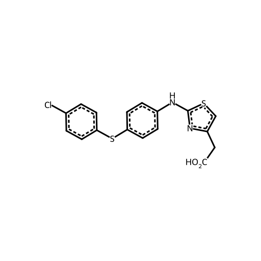 O=C(O)Cc1csc(Nc2ccc(Sc3ccc(Cl)cc3)cc2)n1